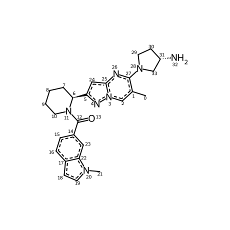 Cc1cn2nc([C@@H]3CCCCN3C(=O)c3ccc4ccn(C)c4c3)cc2nc1N1CC[C@H](N)C1